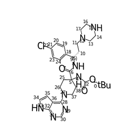 CC(C)(C)OC(=O)NC1(C(=O)N[C@@H](CCN2CCNCC2)c2ccc(Cl)cc2)CCN(c2ncnc3[nH]ccc23)CC1